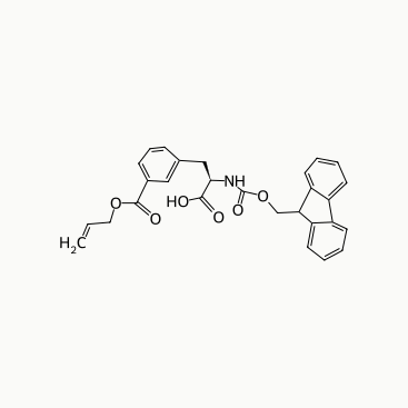 C=CCOC(=O)c1cccc(C[C@@H](NC(=O)OCC2c3ccccc3-c3ccccc32)C(=O)O)c1